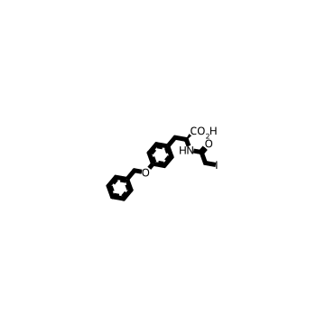 O=C(CI)N[C@@H](Cc1ccc(OCc2ccccc2)cc1)C(=O)O